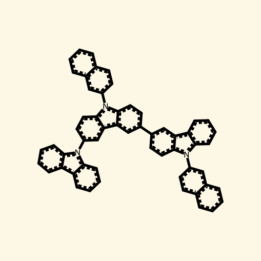 c1ccc2cc(-n3c4ccccc4c4cc(-c5ccc6c(c5)c5cc(-n7c8ccccc8c8ccccc87)ccc5n6-c5ccc6ccccc6c5)ccc43)ccc2c1